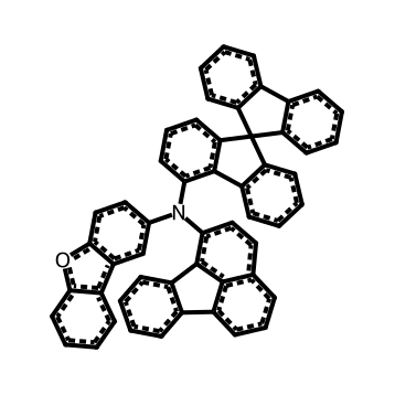 c1ccc2c(c1)-c1cccc3ccc(N(c4ccc5oc6ccccc6c5c4)c4cccc5c4-c4ccccc4C54c5ccccc5-c5ccccc54)c-2c13